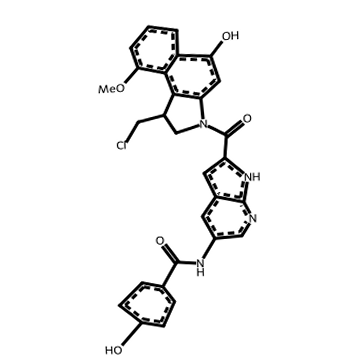 COc1cccc2c(O)cc3c(c12)C(CCl)CN3C(=O)c1cc2cc(NC(=O)c3ccc(O)cc3)cnc2[nH]1